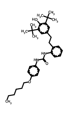 CCCCCCOc1ccc(NC(=O)Nc2ccccc2CCc2cc(C(C)(C)C)c(O)c(C(C)(C)C)c2)cc1